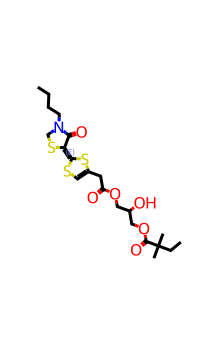 CCCCN1CS/C(=C2\SC=C(CC(=O)OCC(O)COC(=O)C(C)(C)CC)S2)C1=O